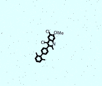 COc1cc2nc(C)c(-c3ccc(-c4c(C)cccc4C)cc3)c(Cl)c2cc1Cl